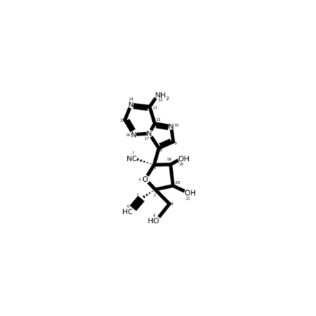 C#C[C@]1(CO)O[C@@](C#N)(c2cnc3c(N)ncnn23)C(O)C1O